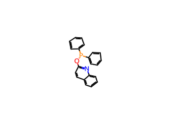 c1ccc(P(Oc2ccc3ccccc3n2)c2ccccc2)cc1